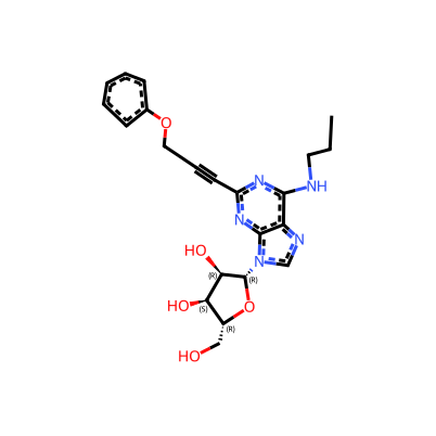 CCCNc1nc(C#CCOc2ccccc2)nc2c1ncn2[C@@H]1O[C@H](CO)[C@@H](O)[C@H]1O